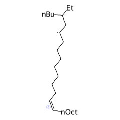 CCCCCCCC/C=C\CCCCCCC[CH]CC(CC)CCCC